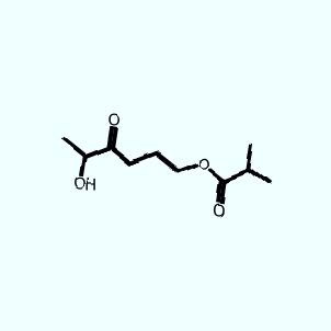 CC(C)C(=O)OCCCC(=O)C(C)O